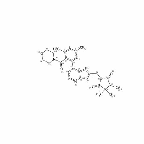 Cc1cc(C(F)(F)F)nc(-c2ccnc3cc(CN4C(=O)C(C)C(C)(C)C4=O)sc23)c1C(=O)N1CCOCC1